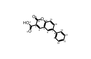 O=C(O)c1cc2cc(-c3ccccc3)ccc2oc1=O